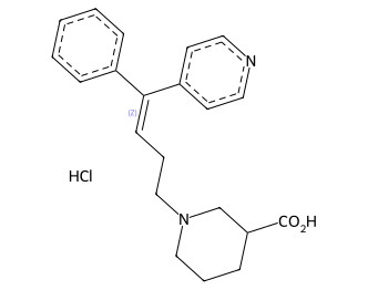 Cl.O=C(O)C1CCCN(CC/C=C(/c2ccccc2)c2ccncc2)C1